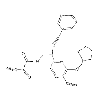 COC(=O)C(=O)NCC(C#Cc1ccccc1)c1ccc(OC)c(OC2CCCC2)c1